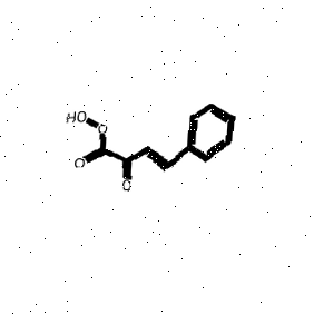 O=C(C=Cc1ccccc1)C(=O)OO